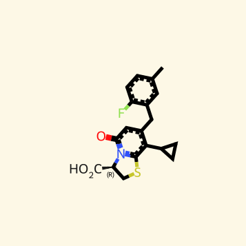 Cc1ccc(F)c(Cc2cc(=O)n3c(c2C2CC2)SC[C@H]3C(=O)O)c1